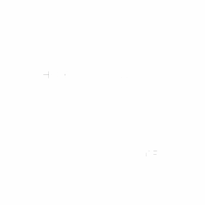 O=C(O)c1cccc2oc(-c3ccc(C(F)(F)F)cc3)cc12